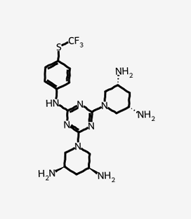 N[C@@H]1C[C@H](N)CN(c2nc(Nc3ccc(SC(F)(F)F)cc3)nc(N3C[C@H](N)C[C@H](N)C3)n2)C1